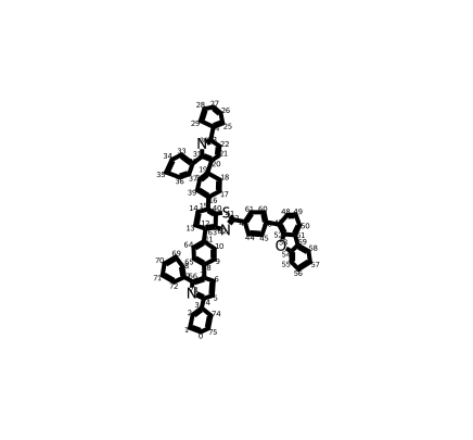 c1ccc(-c2ccc(-c3ccc(-c4ccc(-c5ccc(-c6ccc(-c7ccccc7)nc6-c6ccccc6)cc5)c5sc(-c6ccc(-c7cccc8c7oc7ccccc78)cc6)nc45)cc3)c(-c3ccccc3)n2)cc1